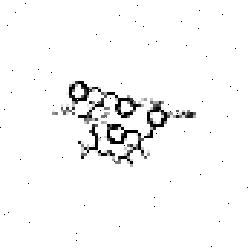 COc1cccc(CN(Cc2cccc(OC)c2)C(=O)OC(C)OCCC(CCOC(C)OC(=O)N(Cc2cccc(OC)c2)Cc2cccc(OC)c2)N(C)C)c1